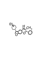 CCN1CCC(c2coc3ccc(NC(C)C(=O)c4ccccc4)cc23)CC1